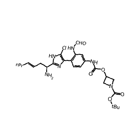 CCC/C=C/CC(N)c1nc(-c2ccc(NC(=O)OC3CN(C(=O)OC(C)(C)C)C3)cc2NC=O)c(Cl)[nH]1